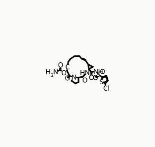 NC(=O)OC1CCCCC/C=C/C2CC2(C(=O)NS(=O)(=O)c2ccc(Cl)s2)NC(=O)C2CCCN2C1=O